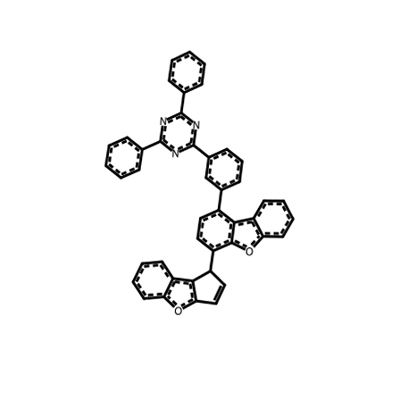 C1=CC(c2ccc(-c3cccc(-c4nc(-c5ccccc5)nc(-c5ccccc5)n4)c3)c3c2oc2ccccc23)c2c1oc1ccccc21